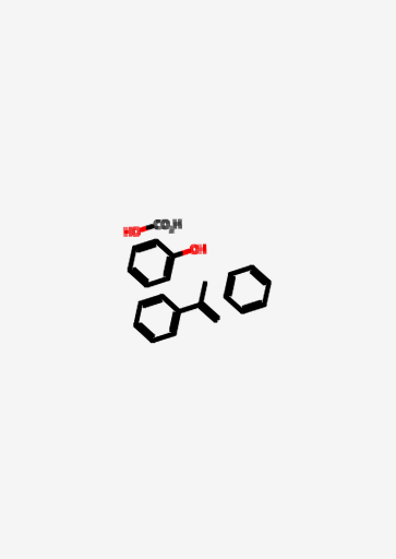 C=C(C)c1ccccc1.O=C(O)O.Oc1ccccc1.c1ccccc1